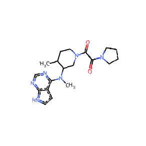 CC1CCN(C(=O)C(=O)N2CCCC2)CC1N(C)c1ncnc2[nH]ccc12